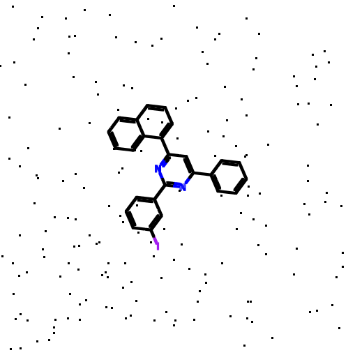 Ic1cccc(-c2nc(-c3ccccc3)cc(-c3cccc4ccccc34)n2)c1